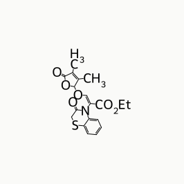 CCOC(=O)/C(=C/OC1OC(=O)C(C)=C1C)N1C(=O)CSc2ccccc21